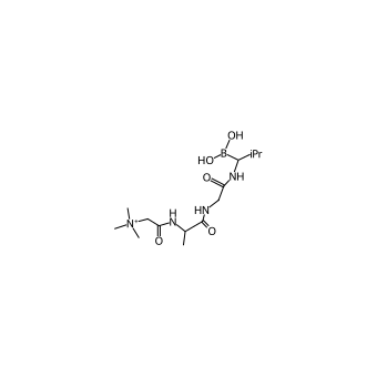 CC(NC(=O)C[N+](C)(C)C)C(=O)NCC(=O)NC(B(O)O)C(C)C